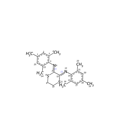 Cc1cc(C)c(/N=C2\SCCS\C2=N/c2c(C)cc(C)cc2C)c(C)c1